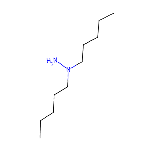 CCCCCN(N)CCCCC